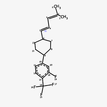 CC(C)=C/C=C/C1CCC(c2ccc(C(F)(F)F)c(F)c2)CC1